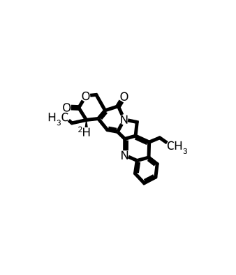 [2H][C@@]1(CC)C(=O)OCc2c1cc1n(c2=O)Cc2c-1nc1ccccc1c2CC